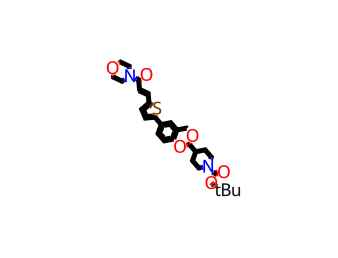 CC(C)(C)OC(=O)N1CCC(C2OCc3cc(-c4ccc(/C=C/C(=O)N5CCOCC5)s4)ccc3O2)CC1